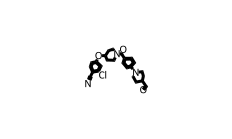 N#Cc1ccc(OC2CCN(C(=O)c3ccc(N4CCC(C=O)CC4)cc3)CC2)cc1Cl